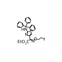 CCOC(=O)/C(=N/OCCI)c1csc(NC(c2ccccc2)(c2ccccc2)c2ccccc2)n1